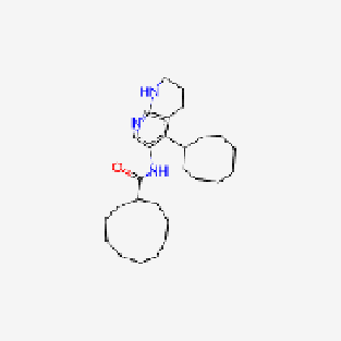 O=C(Nc1cnc2c(c1C1CCCCCCC1)CCCN2)C1CCCCCCCCC1